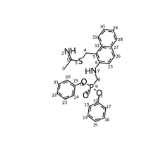 CC(=N)SCc1c(NCP(=O)(Oc2ccccc2)Oc2ccccc2)ccc2ccccc12